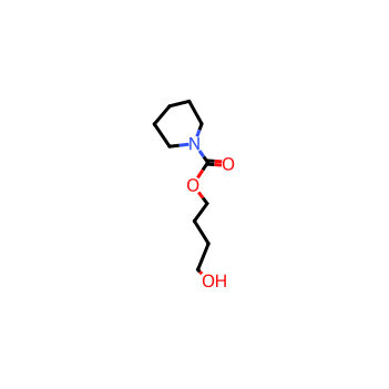 O=C(OCCCCO)N1CCCCC1